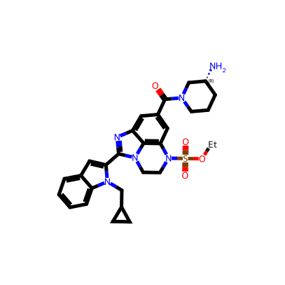 CCOS(=O)(=O)N1CCn2c(-c3cc4ccccc4n3CC3CC3)nc3cc(C(=O)N4CCC[C@@H](N)C4)cc1c32